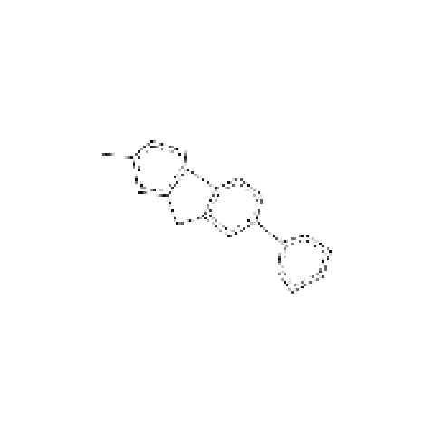 Cc1ccc2c(c1)Cc1cc(-c3ccccc3)ccc1-2